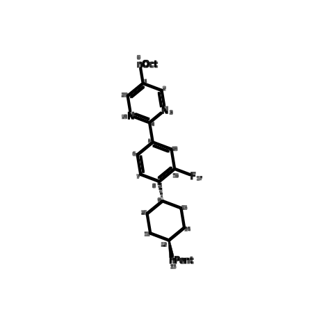 CCCCCCCCc1cnc(-c2ccc([C@H]3CC[C@H](CCCCC)CC3)c(F)c2)nc1